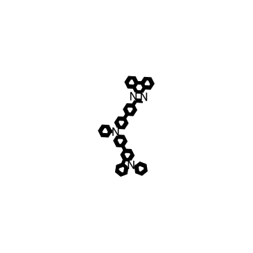 c1ccc(N(c2ccc(-c3ccc(-c4cnc5c6ccccc6c6ccccc6c5n4)cc3)cc2)c2ccc(-c3ccc4c(c3)c3ccccc3n4-c3ccccc3)cc2)cc1